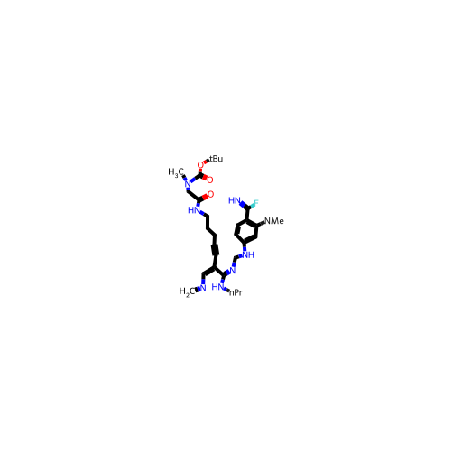 C=N/C=C(C#CCCCNC(=O)CN(C)C(=O)OC(C)(C)C)\C(=N/CNc1ccc(C(=N)F)c(NC)c1)NCCC